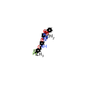 C=N/C=N\C(Oc1ccc(NC(=O)Cc2ccc(C(F)(F)F)c(C)c2)cc1)=C1\C=CN(C(=O)Oc2ccccc2)C1